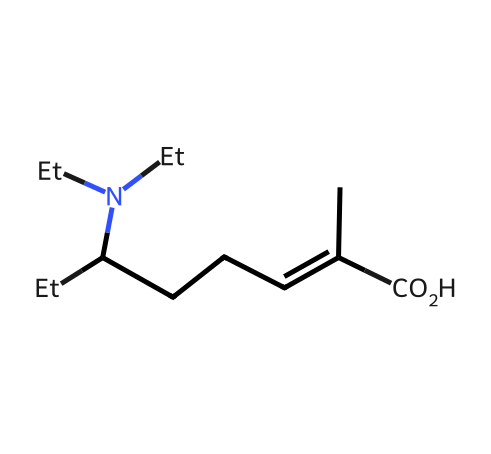 CCC(CCC=C(C)C(=O)O)N(CC)CC